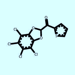 O=C(c1cccs1)C1Oc2c(Cl)c(Cl)c(Cl)c(Cl)c2O1